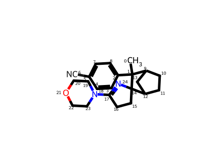 CC1(c2ccc(C#N)cc2)C2CCC(C2)C12CCC(N1CCOCC1)=N2